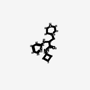 O=C(NC1CCC1)C(CN1CCOCC1)Sc1ccccn1